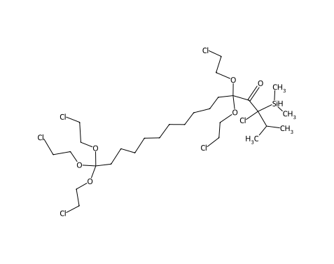 CC(C)C(Cl)(C(=O)C(CCCCCCCCCCC(OCCCl)(OCCCl)OCCCl)(OCCCl)OCCCl)[SiH](C)C